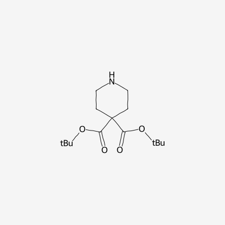 CC(C)(C)OC(=O)C1(C(=O)OC(C)(C)C)CCNCC1